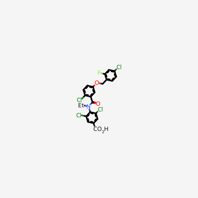 CCN(C(=O)c1cc(OCc2ccc(Cl)cc2F)ccc1Cl)c1c(Cl)cc(C(=O)O)cc1Cl